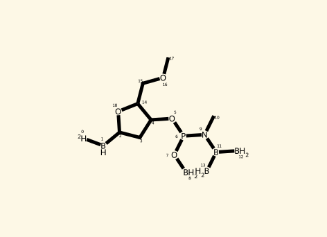 [2H]BC1CC(OP(OB)N(C)B(B)B)C(COC)O1